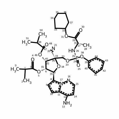 CC(C)C(=O)O[C@H]1[C@H](c2ccc3c(N)ccnn23)O[C@](C#N)(CO[P@@](=O)(N[C@@H](C)C(=O)OC2CCCCC2)Oc2ccccc2)[C@H]1OC(=O)C(C)C